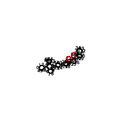 c1ccc(-c2c3ccccc3c(-c3ccc(-c4ccc5c(c4)oc4c5ccc5c6ccc7ccccc7c6oc54)cc3)c3ccccc23)cc1